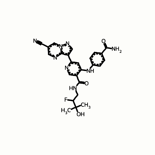 CC(C)(O)C(F)CNC(=O)c1cnc(-c2cnn3cc(C#N)cnc23)cc1Nc1ccc(C(N)=O)cc1